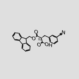 N#Cc1cccc(C[C@@H](C(=O)O)C(=O)OCC2c3ccccc3-c3ccccc32)c1